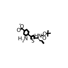 C=CC[C@H](NC(=O)OC(C)(C)C)c1cc(-c2ccc(C(=O)OC)cc2N)cs1